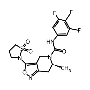 C[C@H]1Cc2noc(N3CCCS3(=O)=O)c2CN1C(=O)Nc1cc(F)c(F)c(F)c1